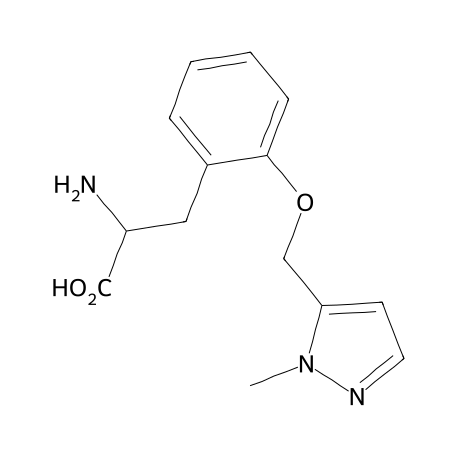 Cn1nccc1COc1ccccc1CC(N)C(=O)O